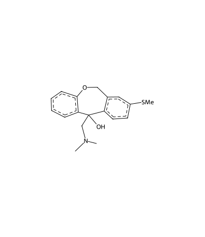 CSc1ccc2c(c1)COc1ccccc1C2(O)CN(C)C